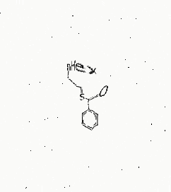 CCCCCCCCSC(=O)c1ccccc1